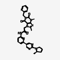 Cc1nc2c(c(=O)n(Cc3ccccn3)c(=O)n2C)n1CC(=O)Nc1cccc(-c2cnc(N3CCC[C@H]3C)nc2)n1